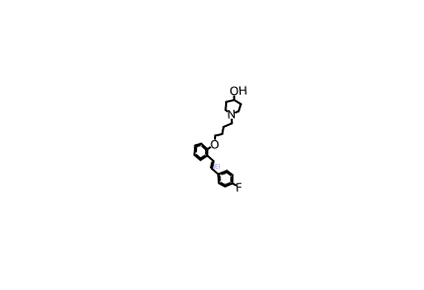 OC1CCN(CCCCOc2ccccc2/C=C/c2ccc(F)cc2)CC1